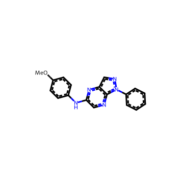 COc1ccc(Nc2cnc3c(cnn3-c3ccccc3)n2)cc1